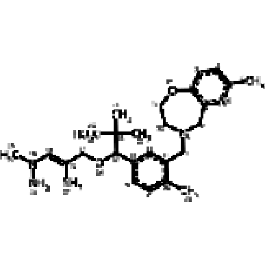 Cc1ccc2c(n1)CN(Cc1cc(C(OC/C(N)=C/N(C)N)C(C)(C)C(=O)O)ccc1C)CCO2